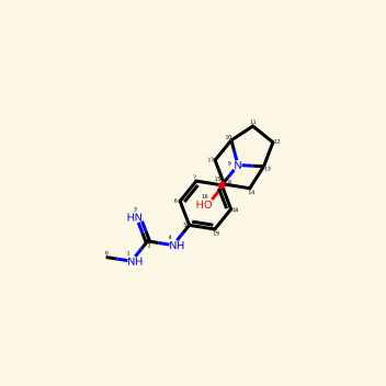 CNC(=N)Nc1ccc(N2C3CCC2CC(O)C3)cc1